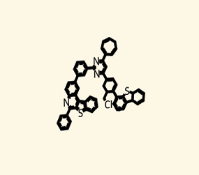 CCC1CC(c2cc(C3=CC=CCC=C3)nc(-c3cccc(-c4ccc5nc(-c6ccccc6)c6sc7ccccc7c6c5c4)c3)n2)=CC=C1c1cccc2c1SC1C=CC=CC21